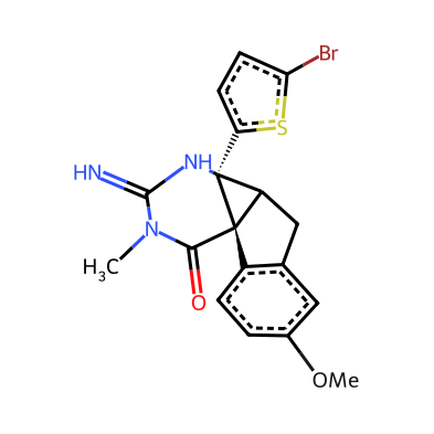 COc1ccc2c(c1)CC1[C@]3(c4ccc(Br)s4)NC(=N)N(C)C(=O)[C@@]213